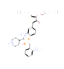 Nc1ccccc1CS(=O)(=O)C(Nc1cccc(-c2sc(C(=O)O)c(OCC(=O)O)c2Br)c1)C1CCNCC1